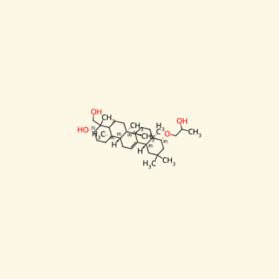 CC(O)CO[C@@H]1CC(C)(C)C[C@@H]2C3=CC[C@@H]4[C@@]5(C)CC[C@H](O)C(C)(CO)C5CC[C@@]4(C)[C@]3(C)CC[C@]21C